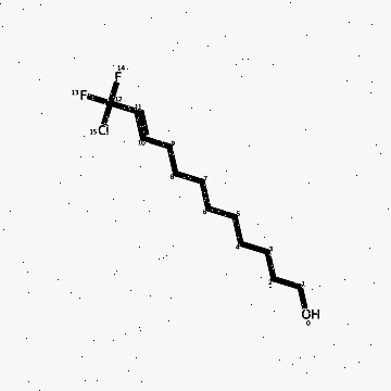 OCCCCCCCCC/C=C/C(F)(F)Cl